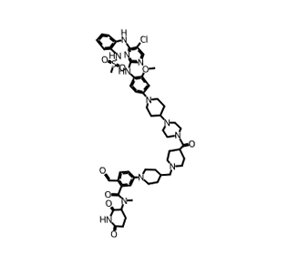 COc1cc(N2CCC(N3CCN(C(=O)C4CCN(CC5CCN(c6ccc(C=O)c(C(=O)N(C)C7CCC(=O)NC7=O)c6)CC5)CC4)CC3)CC2)ccc1Nc1ncc(Cl)c(Nc2ccccc2NS(C)(=O)=O)n1